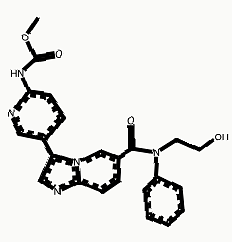 COC(=O)Nc1ccc(-c2cnc3ccc(C(=O)N(CCO)c4ccccc4)cn23)cn1